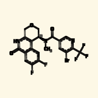 CN(C(=O)c1cnc(C(F)(F)F)c(Br)c1)[C@@H]1COCc2[nH]c(=O)c3cc(F)c(F)cc3c21